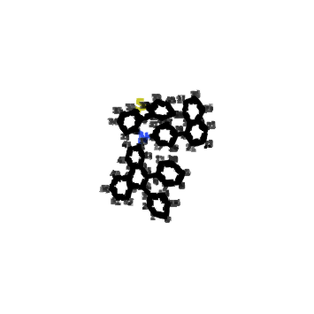 c1ccc(-c2c(-c3ccccc3)c3cc(N(c4ccc(-c5cccc6ccccc56)cc4)c4cccc5sc6ccccc6c45)ccc3c3ccccc23)cc1